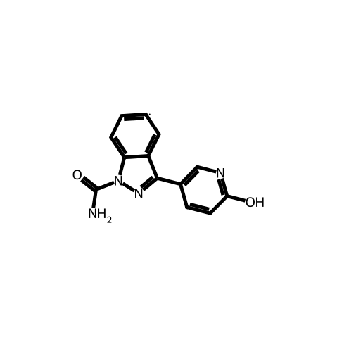 NC(=O)n1nc(-c2ccc(O)nc2)c2c[c]ccc21